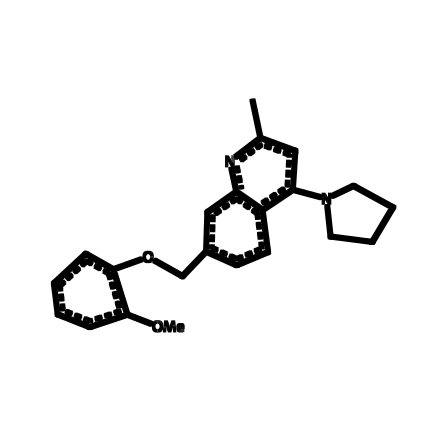 COc1ccccc1OCc1ccc2c(N3CCCC3)cc(C)nc2c1